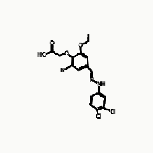 CCOc1cc(C=NNc2ccc(Cl)c(Cl)c2)cc(Br)c1OCC(=O)O